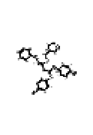 Fc1ccc(SC(C/C(=N/Sc2ccccc2)OCC2CCOC2)Sc2ccc(F)cc2)cc1